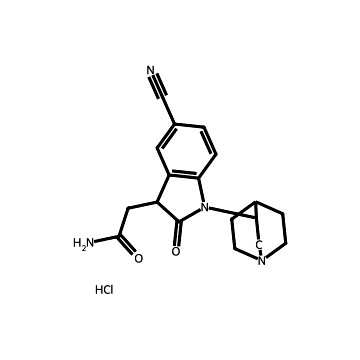 Cl.N#Cc1ccc2c(c1)C(CC(N)=O)C(=O)N2C1CN2CCC1CC2